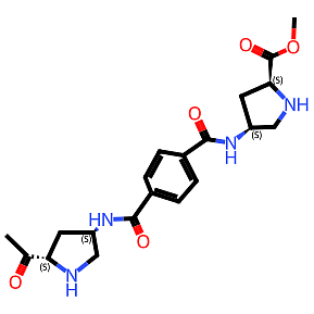 COC(=O)[C@@H]1C[C@H](NC(=O)c2ccc(C(=O)N[C@@H]3CN[C@H](C(C)=O)C3)cc2)CN1